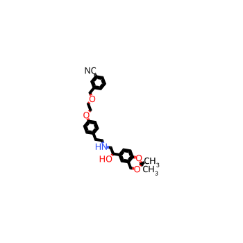 CC1(C)OCc2cc(C(O)CNCCc3ccc(OCCOCc4cccc(C#N)c4)cc3)ccc2O1